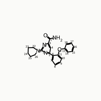 NC(=O)c1cc(-c2ccccc2Oc2ccccc2)nc(N2CCCCC2)n1